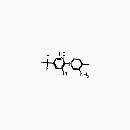 Cl.N[C@H]1CN(c2ncc(C(F)(F)F)cc2Cl)CC[C@H]1F